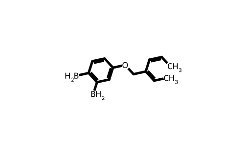 Bc1ccc(OCC(/C=C\C)=C/C)cc1B